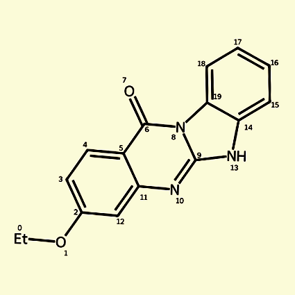 CCOc1ccc2c(=O)n3c(nc2c1)[nH]c1ccccc13